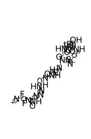 Cc1ncsc1-c1ccc([C@H](C)NC(=O)[C@@H]2C[C@@H](O)CN2C(=O)[C@@H](NC(=O)CCC(=O)NCCCN(C)[C@@H]2C[C@@H]3CN(CC(=O)NCc4cccc(CNc5cc(N6CCC7(CC6)CN(c6cc(F)c(CN8CCC(C)(C)CC8)cc6F)CC(=O)N7)ncn5)c4)C[C@@H]3C2)C(C)(C)C)cc1